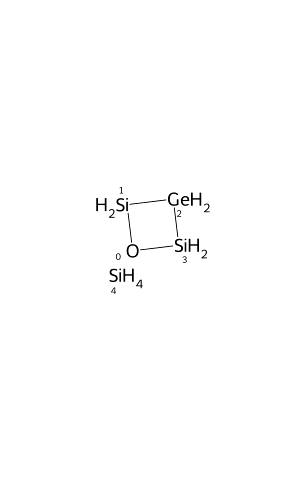 O1[SiH2][GeH2][SiH2]1.[SiH4]